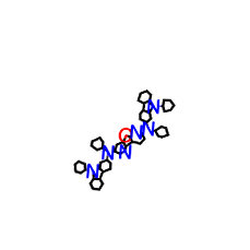 c1ccc(N(c2cnc3c(c2)oc2nc(N(c4ccccc4)c4ccc5c6ccccc6n(-c6ccccc6)c5c4)ccc23)c2ccc3c4ccccc4n(-c4ccccc4)c3c2)cc1